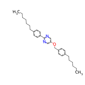 CCCCCCCc1ccc(-c2ncc(OCc3ccc(CCCCCC)cc3)cn2)cc1